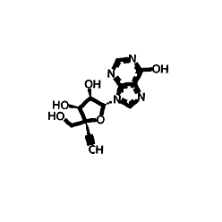 C#C[C@]1(CO)O[C@@H](n2cnc3c(O)ncnc32)[C@H](O)[C@@H]1O